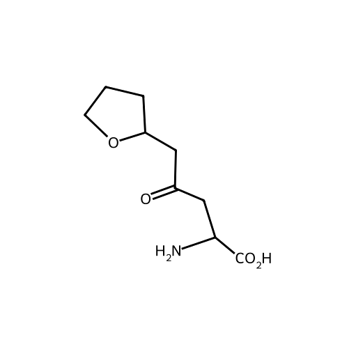 NC(CC(=O)CC1CCCO1)C(=O)O